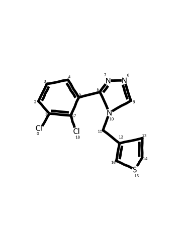 Clc1cccc(-c2nncn2Cc2ccsc2)c1Cl